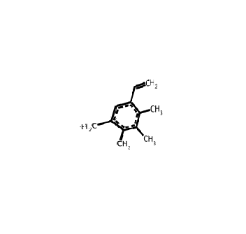 [CH2]c1cc(C=C)c(C)c(C)c1C